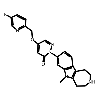 Cn1c2c(c3ccc(-n4ncc(OCc5ccc(F)cn5)cc4=O)cc31)CCNCC2